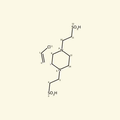 C=CCl.O=S(=O)(O)CCN1CCN(CCS(=O)(=O)O)CC1